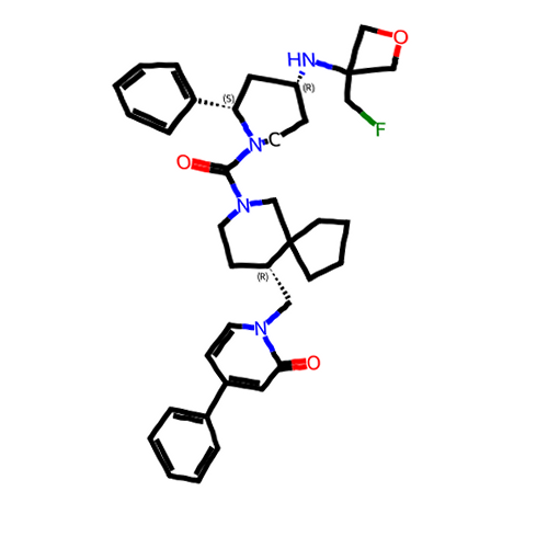 O=C(N1CC[C@@H](Cn2ccc(-c3ccccc3)cc2=O)C2(CCCC2)C1)N1CC[C@@H](NC2(CF)COC2)C[C@H]1c1ccccc1